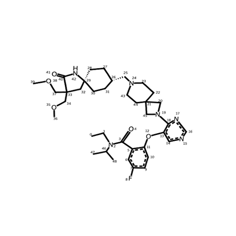 CCN(C(=O)c1cc(F)ccc1Oc1cncnc1N1CC2(CCN(C[C@H]3CC[C@]4(CC3)CC(COC)(COC)C(=O)N4)CC2)C1)C(C)C